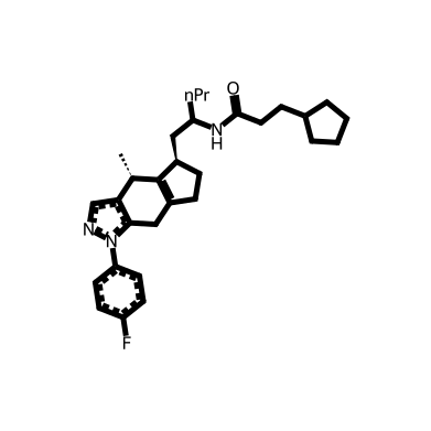 CCCC(C[C@H]1CCC2=C1[C@@H](C)c1cnn(-c3ccc(F)cc3)c1C2)NC(=O)CCC1CCCC1